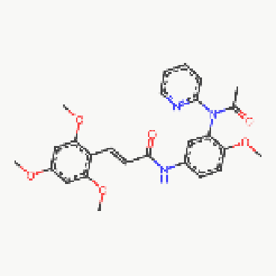 COc1cc(OC)c(/C=C/C(=O)Nc2ccc(OC)c(N(C(C)=O)c3ccccn3)c2)c(OC)c1